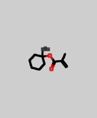 C=C(C)C(=O)OC1(CCCC)CCCCC1